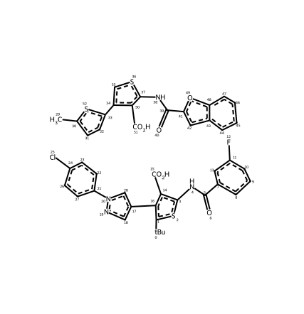 CC(C)(C)c1sc(NC(=O)c2cccc(F)c2)c(C(=O)O)c1-c1cnn(-c2ccc(Cl)cc2)c1.Cc1ccc(-c2csc(NC(=O)c3cc4ccccc4o3)c2C(=O)O)s1